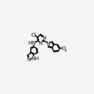 COc1ccc2cn(-c3ncc(Cl)c(Nc4ccc5[nH]ncc5c4)n3)cc2c1